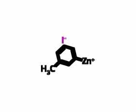 Cc1ccc[c]([Zn+])c1.[I-]